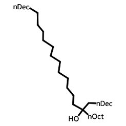 CCCCCCCCCCCCCCCCCCCCCCC(O)(CCCCCCCC)CCCCCCCCCCC